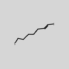 IC=CCCCCCI